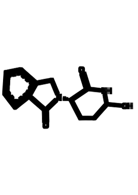 O=C1NC(O)CC[C@@H]1N1Cc2ccccc2C1=O